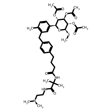 CS[C@H]1O[C@@H](c2ccc(C)c(Cc3ccc(CCCC(=O)NC(C)(C)C(=O)NCCN(C)C)cc3)c2)[C@H](OC(C)=O)[C@@H](OC(C)=O)[C@@H]1OC(C)=O